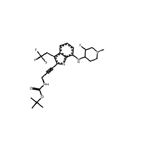 CN1CCC(Nc2cccc3c(CC(F)(F)F)c(C#CCNC(=O)OC(C)(C)C)sc23)C(F)C1